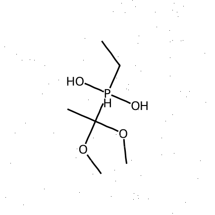 CC[PH](O)(O)C(C)(OC)OC